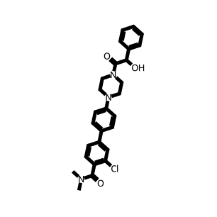 CN(C)C(=O)c1ccc(-c2ccc(N3CCN(C(=O)C(O)c4ccccc4)CC3)cc2)cc1Cl